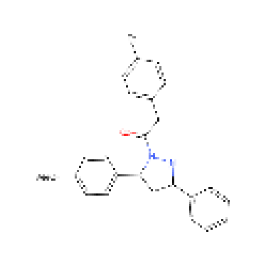 CCc1ccc(CC(=O)N2N=C(c3ccccc3)CC2c2ccc(OC)cc2)cc1